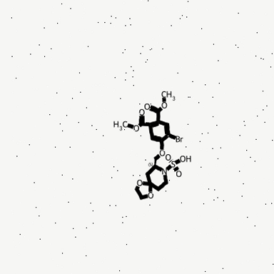 COC(=O)c1cc(Br)c(OC[C@@H]2CC3(CCN2S(=O)(=O)O)OCCO3)cc1C(=O)OC